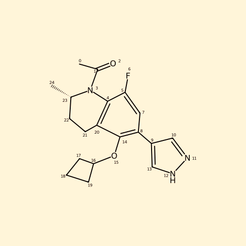 CC(=O)N1c2c(F)cc(-c3cn[nH]c3)c(OC3CCC3)c2CC[C@@H]1C